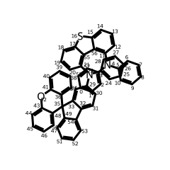 c1ccc(N(c2ccccc2)c2cccc3sc4cccc(N(c5ccccc5)c5ccc6c(c5)C5(c7ccccc7Oc7ccccc75)c5ccccc5-6)c4c23)cc1